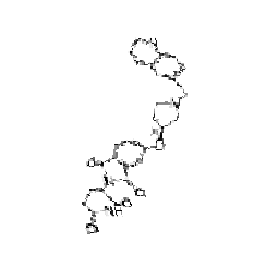 O=C1CCC(N2C(=O)c3ccc(O[C@H]4CCN(Cc5ccc6ncccc6c5)C4)cc3C2=O)C(=O)N1